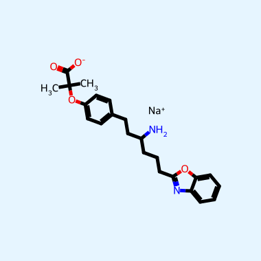 CC(C)(Oc1ccc(CCC(N)CCCc2nc3ccccc3o2)cc1)C(=O)[O-].[Na+]